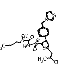 CCCCN(C)C(=O)NS(=O)(=O)c1sc(CC(C)C)cc1-c1ccc(Cn2ccnc2)cc1